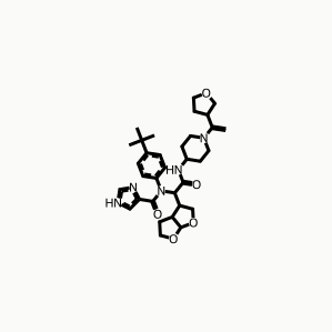 C=C(C1CCOC1)N1CCC(NC(=O)C(C2COC3OCCC32)N(C(=O)c2c[nH]cn2)c2ccc(C(C)(C)C)cc2)CC1